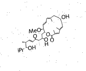 CO[C@H]1/C=C/C=C(\C)C[C@H](C)[C@H](O)[C@H](C)/C=C(C)/C=C(\C)C(=O)O[C@@H]1[C@@H](C)[C@@H](O)[C@H](C)C(=O)/C=C/[C@H](C)[C@H](O)C(C)C